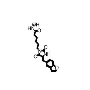 O=C(CCCCCN1C(=O)N/C(=C\c2ccc3occc3c2)C1=O)NO